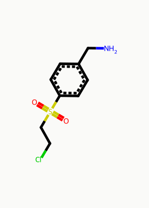 NCc1ccc(S(=O)(=O)CCCl)cc1